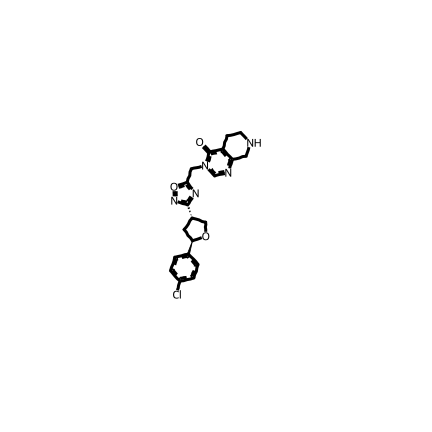 O=c1c2c(ncn1Cc1nc([C@@H]3CO[C@@H](c4ccc(Cl)cc4)C3)no1)CNCC2